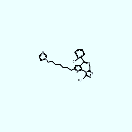 Cc1nnc2n1-c1sc(CCCCCCCn3ccnc3)cc1C(c1ccccc1Cl)=NC2